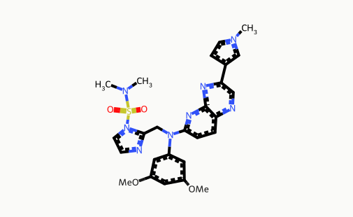 COc1cc(OC)cc(N(Cc2nccn2S(=O)(=O)N(C)C)c2ccc3ncc(-c4ccn(C)c4)nc3n2)c1